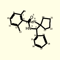 CNC1(C(NC(=O)c2c(C)cccc2C)c2ccccc2)CCCC1